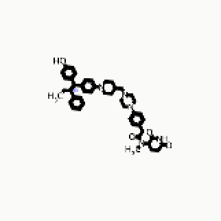 CC/C(=C(\c1ccc(O)cc1)c1ccc(N2CCC(CN3CCN(c4ccc(CC(=O)N(C)C5CCC(=O)NC5=O)cc4)CC3)CC2)cc1)c1ccccc1